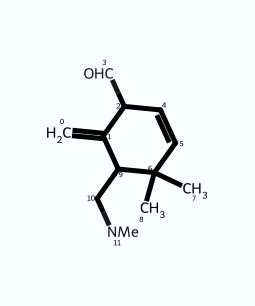 C=C1C(C=O)C=CC(C)(C)C1CNC